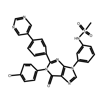 CS(=O)(=O)Nc1cccc(-n2cnc3c(=O)n(-c4ccc(Cl)cc4)c(-c4ccc(-c5cncnc5)cc4)nc32)c1